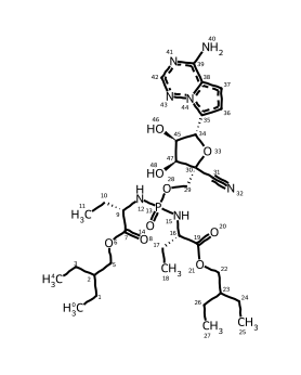 CCC(CC)COC(=O)[C@H](CC)NP(=O)(N[C@@H](CC)C(=O)OCC(CC)CC)OC[C@@]1(C#N)O[C@@H](c2ccc3c(N)ncnn23)[C@H](O)[C@@H]1O